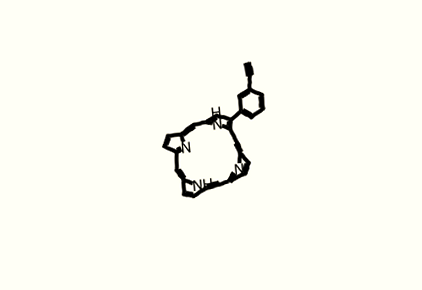 C#Cc1cccc(-c2cc3cc4nc(cc5ccc(cc6nc(cc2[nH]3)C=C6)[nH]5)C=C4)c1